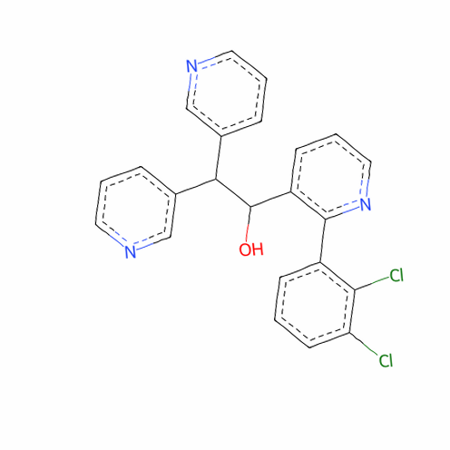 OC(c1cccnc1-c1cccc(Cl)c1Cl)C(c1cccnc1)c1cccnc1